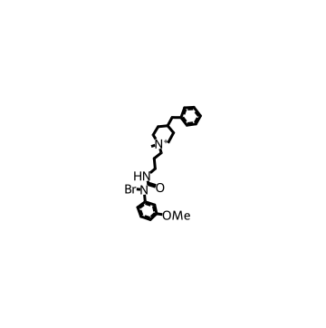 COc1cccc(N(Br)C(=O)NCCC[N+]2(C)CCC(Cc3ccccc3)CC2)c1